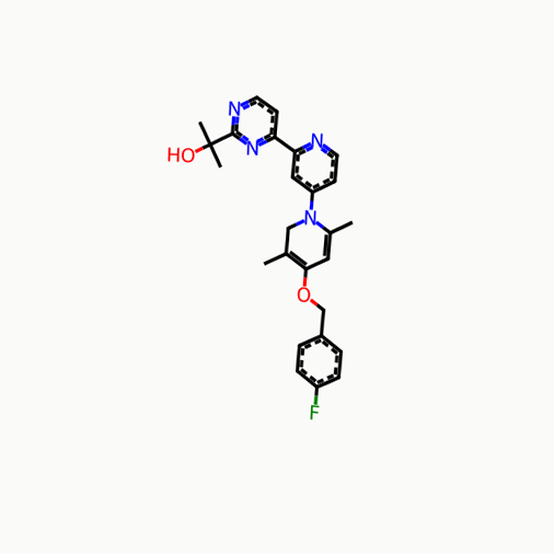 CC1=CC(OCc2ccc(F)cc2)=C(C)CN1c1ccnc(-c2ccnc(C(C)(C)O)n2)c1